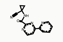 N#CC1(NC(=O)c2nccc(-c3ccccn3)n2)CC1